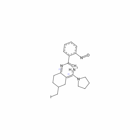 C=C(/N=C1/CCC(CI)C/C1=C(/N)N1CCCC1)c1ccccc1N=O